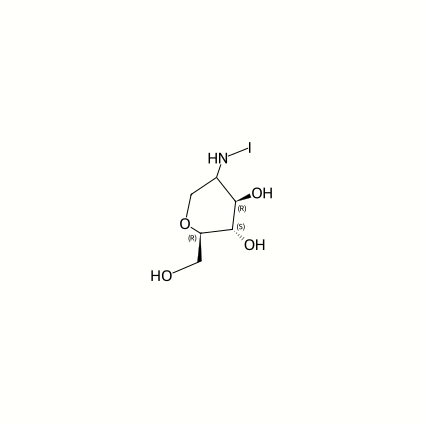 OC[C@H]1OCC(NI)[C@@H](O)[C@@H]1O